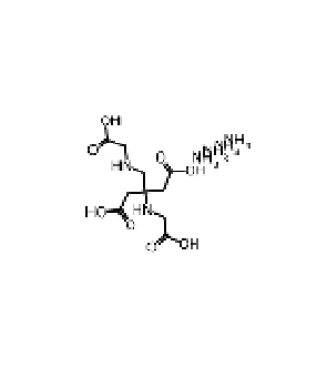 N.N.N.N.O=C(O)CNCC(CC(=O)O)(CC(=O)O)NCC(=O)O